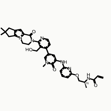 C=CC(=O)N[C@@H](C)COc1cccc(Nc2cc(-c3ccnc(N4CCn5c(cc6c5CC(C)(C)C6)C4=O)c3CO)cn(C)c2=O)n1